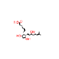 CC(C)=CCC[C@@H](O)/C=C/[C@@H]1[C@@H](C/C=C\CCCC(=O)O)[C@@H](O)C[C@H]1O